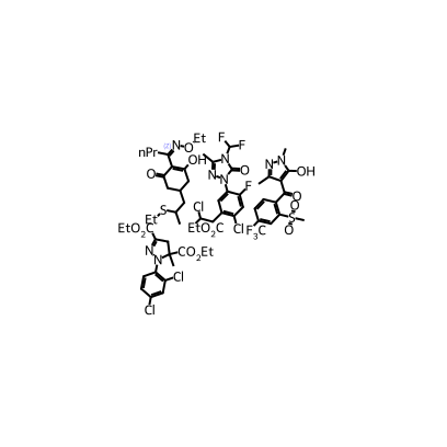 CCC/C(=N/OCC)C1=C(O)CC(CC(C)SCC)CC1=O.CCOC(=O)C(Cl)Cc1cc(-n2nc(C)n(C(F)F)c2=O)c(F)cc1Cl.CCOC(=O)C1=NN(c2ccc(Cl)cc2Cl)C(C)(C(=O)OCC)C1.Cc1nn(C)c(O)c1C(=O)c1ccc(C(F)(F)F)cc1S(C)(=O)=O